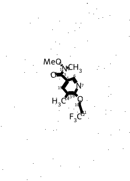 CON(C)C(=O)c1cnc(OCCC(F)(F)F)c(C)c1